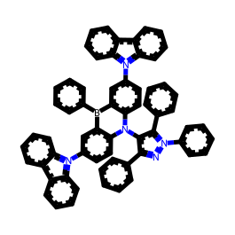 c1ccc(B2c3cc(-n4c5ccccc5c5ccccc54)ccc3N(c3c(-c4ccccc4)nn(-c4ccccc4)c3-c3ccccc3)c3ccc(-n4c5ccccc5c5ccccc54)cc32)cc1